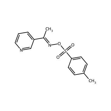 C/C(=N\OS(=O)(=O)c1ccc(C)cc1)c1cccnc1